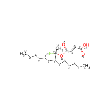 CCCCCCC(CCCCCC)C(C)(F)OC(=O)C=CC(=O)O